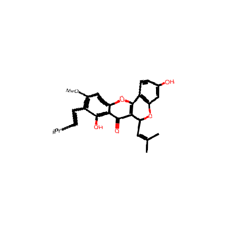 COc1cc2oc3c(c(=O)c2c(O)c1/C=C/C(C)C)C(C=C(C)C)Oc1cc(O)ccc1-3